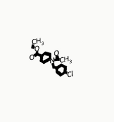 CCOC(=O)c1ccc(N(Cc2ccc(Cl)cc2)C(C)=O)cc1